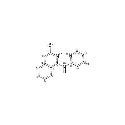 Brc1cc2ccccc2c(Nc2cnccn2)n1